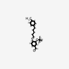 Cc1ccc(CCCCCSc2ccc(C=O)cc2OC(F)(F)F)cc1